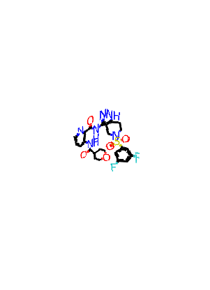 O=C(Nc1n[nH]c2c1CN(S(=O)(=O)c1cc(F)cc(F)c1)CC2)c1ncccc1NC(=O)C1CCOCC1